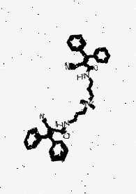 C[N+](C)(CCCNC(=O)C(C#N)=C(c1ccccc1)c1ccccc1)CCCNC(=O)C(C#N)=C(c1ccccc1)c1ccccc1